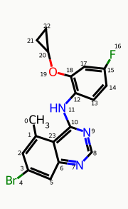 Cc1cc(Br)cc2ncnc(Nc3ccc(F)cc3OC3CC3)c12